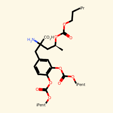 CCCC(C)OC(=O)Oc1ccc(CC(N)(C[C@H](C)OC(=O)OCCC(C)C)C(=O)O)cc1OC(=O)OC(C)CCC